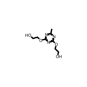 Cc1nc(OCCO)nc(OCCO)n1